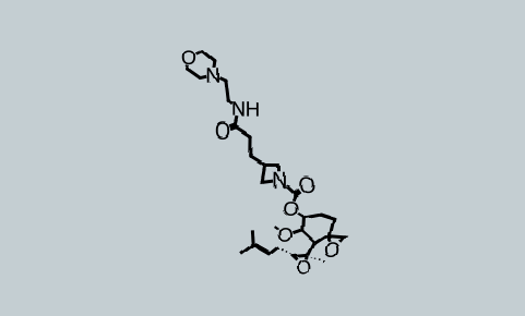 COC1C(OC(=O)N2CC(CCC(=O)NCCN3CCOCC3)C2)CCC2(CO2)C1[C@@]1(C)O[C@@H]1CC=C(C)C